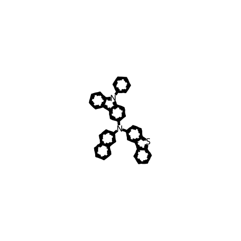 c1ccc(-n2c3ccccc3c3cc(N(c4ccc5ccccc5c4)c4ccc5sc6ccccc6c5c4)ccc32)cc1